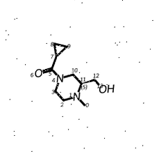 CN1CCN(C(=O)C2CC2)C[C@H]1CO